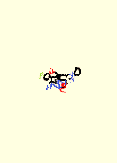 CC(=C1c2ccc(Cn3c(C(F)(F)F)nc4ccccc43)cc2COc2cc(F)ccc21)c1noc(=O)[nH]1